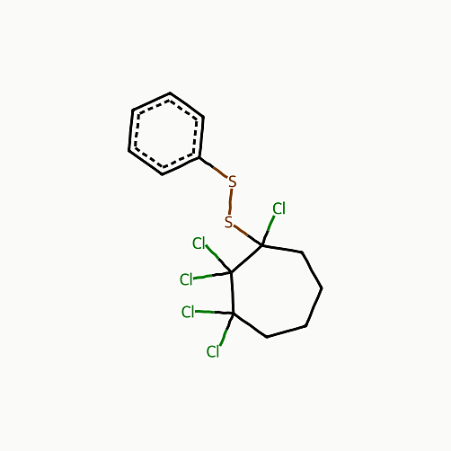 ClC1(Cl)CCCCC(Cl)(SSc2ccccc2)C1(Cl)Cl